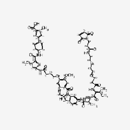 COc1cc2c(cc1OCCCC(=O)Nc1cn(C)c(C(=O)Nc3ccc(-c4cc(C(=O)O)n(C)c4)cc3)n1)N=C[C@@H]1Cc3ccc(NC(=O)C(C)NC(=O)C(NC(=O)CCOCCOCCNC(=O)CCN4C(=O)C=CC4=O)C(C)C)cc3N1C2=O